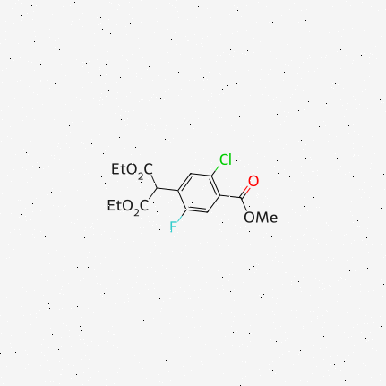 CCOC(=O)C(C(=O)OCC)c1cc(Cl)c(C(=O)OC)cc1F